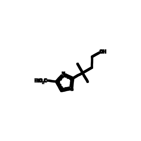 CCOC(=O)c1csc(C(C)(C)CCO)n1